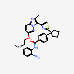 COCCOc1ccc2nc(C)c(-c3csc(C4(c5ccc(C(=O)Nc6ccccc6N)cc5)CCCC4)n3)n2c1